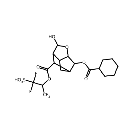 O=C(OC1C2CC3C1OC(O)C3C2C(=O)OC(C(F)(F)F)C(F)(F)S(=O)(=O)O)C1CCCCC1